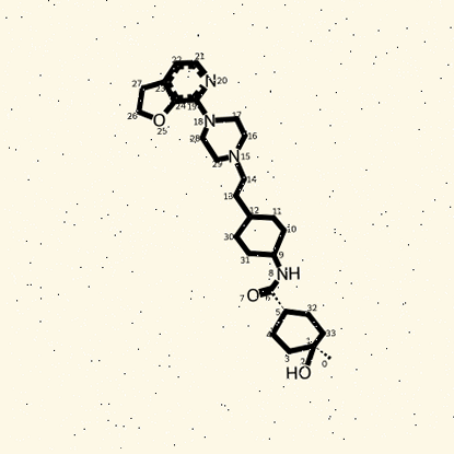 C[C@]1(O)CC[C@H](C(=O)NC2CCC(CCN3CCN(c4nccc5c4OCC5)CC3)CC2)CC1